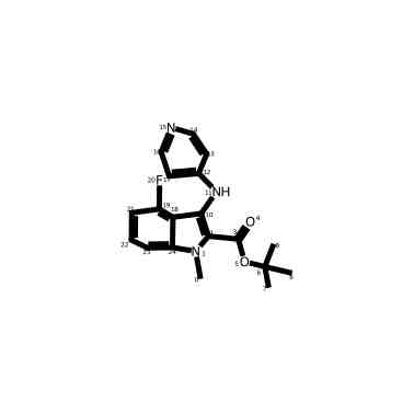 Cn1c(C(=O)OC(C)(C)C)c(Nc2ccncc2)c2c(F)cccc21